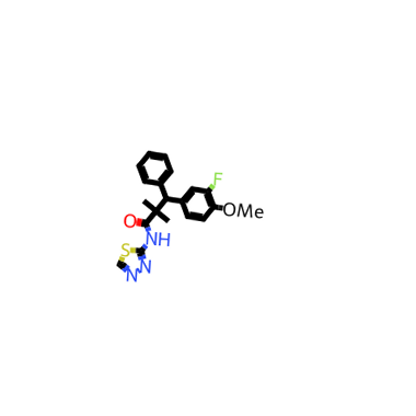 COc1ccc(C(c2ccccc2)C(C)(C)C(=O)Nc2nncs2)cc1F